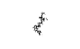 CCCOC(=O)c1sc(C(=O)NCCNc2nccc3ccc(-c4noc(C)n4)cc23)nc1C